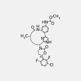 COC(=O)Nc1ccc2c(c1)NC(=O)CC(C)CCCC(N1CC[C@H](c3c(F)ccc(Cl)c3F)OC1=O)c1nc-2c[nH]1